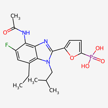 CCc1cc(F)c(NC(C)=O)c2nc(-c3ccc(P(=O)(O)O)o3)n(CC(C)C)c12